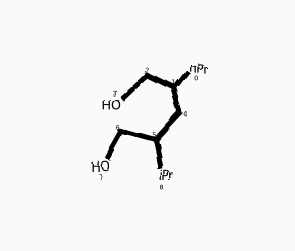 CCCC(CO)CC(CO)C(C)C